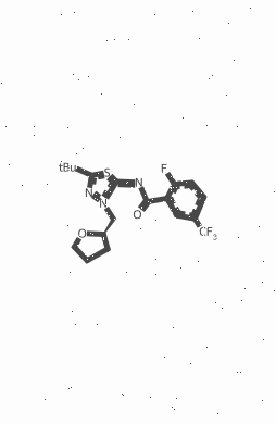 CC(C)(C)c1nn(C[C@H]2CCCO2)c(=NC(=O)c2cc(C(F)(F)F)ccc2F)s1